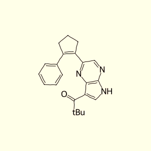 CC(C)(C)C(=O)c1c[nH]c2ncc(C3=C(c4ccccc4)CCC3)nc12